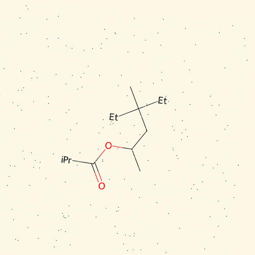 CCC(C)(CC)CC(C)OC(=O)C(C)C